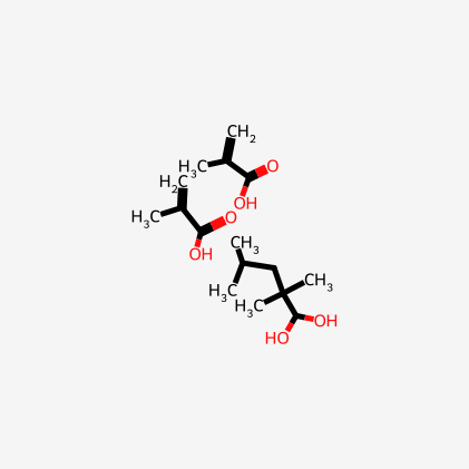 C=C(C)C(=O)O.C=C(C)C(=O)O.CC(C)CC(C)(C)C(O)O